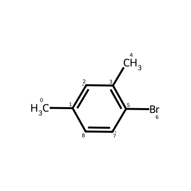 Cc1[c]c(C)c(Br)[c]c1